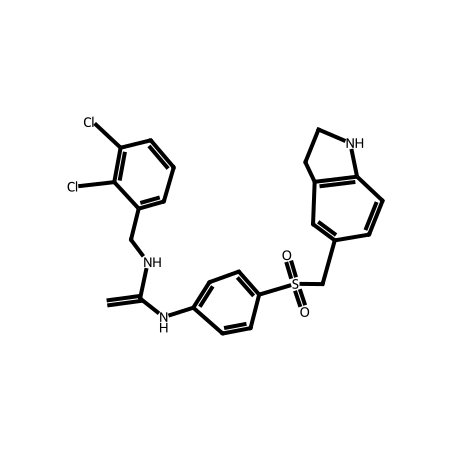 C=C(NCc1cccc(Cl)c1Cl)Nc1ccc(S(=O)(=O)Cc2ccc3c(c2)CCN3)cc1